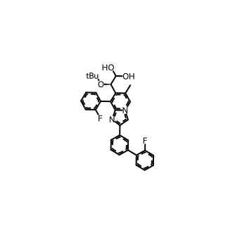 Cc1cn2cc(-c3cccc(-c4ccccc4F)c3)nc2c(-c2ccccc2F)c1[C@@H](OC(C)(C)C)C(O)O